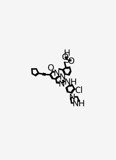 O=c1c(C#CC2=CCCC2)cc2cnc(Nc3ccc(N4CCNCC4)c(Cl)c3)nc2n1Cc1ccccc1C[SH](=O)=O